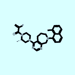 C=C(F)C(=O)N1CCN(c2ncnc3c2CCCN(c2cccc4cccc(C)c24)C3)C[C@@H]1C